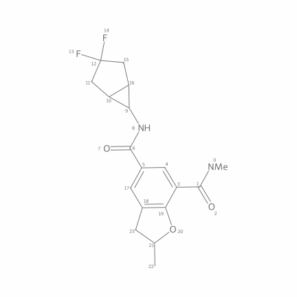 CNC(=O)c1cc(C(=O)NC2C3CC(F)(F)CC32)cc2c1OC(C)C2